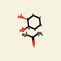 CC(C)=O.O[C@@H]1CCCC[C@H]1O